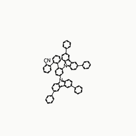 N#Cc1ccccc1-c1ccccc1-c1ccc(-n2c3ccc(-c4ccccc4)cc3c3cc(-c4ccccc4)ccc32)cc1-n1c2ccc(-c3ccccc3)cc2c2cc(-c3ccccc3)ccc21